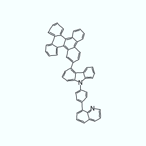 c1cnc2c(-c3ccc(-n4c5ccccc5c5c(-c6ccc7c8ccccc8c8c9ccccc9c9ccccc9c8c7c6)cccc54)cc3)cccc2c1